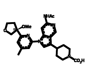 CO[C@@]1(c2cc(C)cc(-n3cc(C4CCN(C(=O)O)CC4)c4cnc(NC(C)=O)cc43)n2)CCOC1